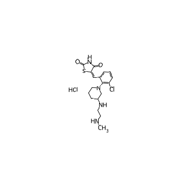 CNCCNC1CCCN(c2c(Cl)cccc2C=C2SC(=O)NC2=O)C1.Cl